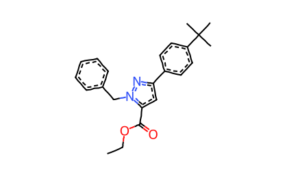 CCOC(=O)c1cc(-c2ccc(C(C)(C)C)cc2)nn1Cc1ccccc1